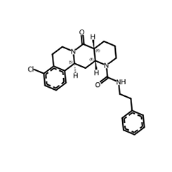 O=C(NCCc1ccccc1)N1CCC[C@H]2C(=O)N3CCc4c(Cl)cccc4[C@@H]3C[C@H]21